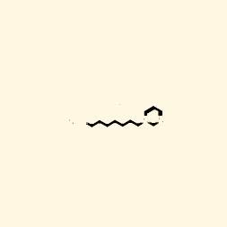 CCCCCCCCCCCCCCCCN1C=CC=NC1.Cl